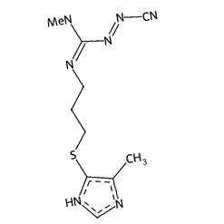 CNC(N=NC#N)=NCCCSc1[nH]cnc1C